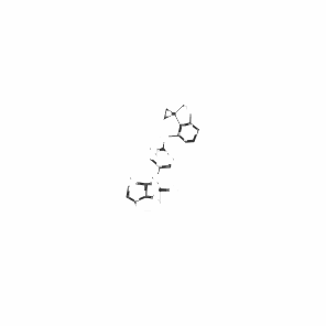 Cc1ccnc2c1[nH]c(=O)n2-c1cnc(Oc2cccc3c2C2(CC2)CO3)nc1